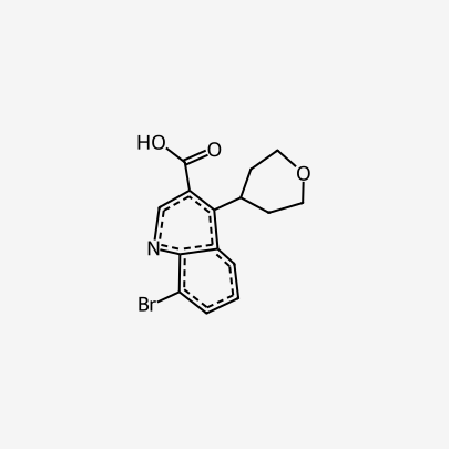 O=C(O)c1cnc2c(Br)cccc2c1C1CCOCC1